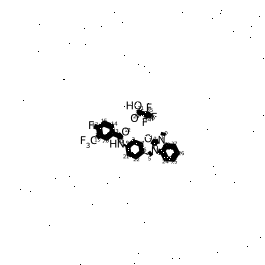 Cn1c(=O)n(C[C@H]2CC[C@H](NC(=O)c3ccc(F)c(C(F)(F)F)c3)CC2)c2ccccc21.O=C(O)C(F)(F)F